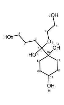 OCCCC(O)(OCCO)C1(O)CCC(O)CC1